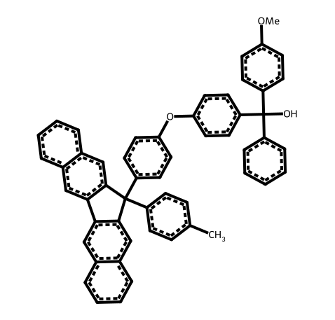 COc1ccc(C(O)(c2ccccc2)c2ccc(Oc3ccc(C4(c5ccc(C)cc5)c5cc6ccccc6cc5-c5cc6ccccc6cc54)cc3)cc2)cc1